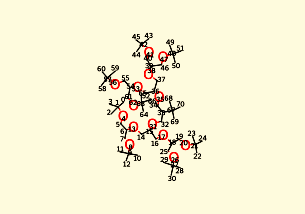 CC(C)(C)OCC(COC(C)(C)C)OCC(COC(COC(C)(C)C)COC(C)(C)C)OCC(COC(COC(COC(C)(C)C)COC(C)(C)C)COC(COC(C)(C)C)COC(C)(C)C)C(C)(C)C